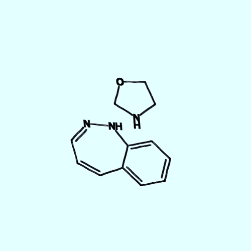 C1=Cc2ccccc2NN=C1.C1COCN1